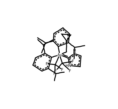 CC(C)c1cccc(C(C)C)[c]1[Au]([CH2]C1CC1)([c]1c(C(C)C)cccc1C(C)C)(=[c]1[nH]cc[nH]1)([C](F)(F)F)[C](F)(F)F